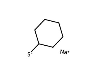 [Na+].[S-]C1CCCCC1